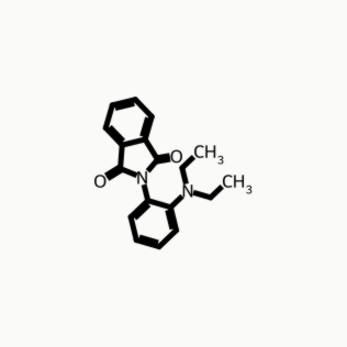 CCN(CC)c1ccccc1N1C(=O)c2ccccc2C1=O